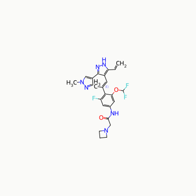 C=Cc1[nH]nc(-c2cnn(C)c2)c1/C=C(\C)c1c(F)cc(NC(=O)CN2CCC2)cc1OC(F)F